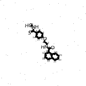 O=C(NCCOc1ccc(C(=S)NO)cc1)c1cccc2ccccc12